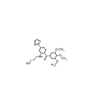 COc1cc(C(=O)c2ccc(-c3nccs3)cc2NCCCO)cc(OC)c1OC